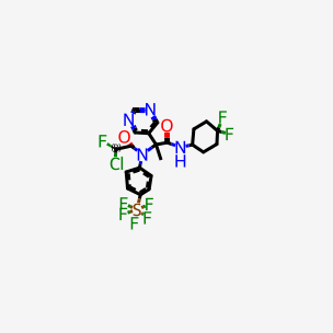 CC(C(=O)NC1CCC(F)(F)CC1)(c1cncnc1)N(C(=O)[C@H](F)Cl)c1ccc(S(F)(F)(F)(F)F)cc1